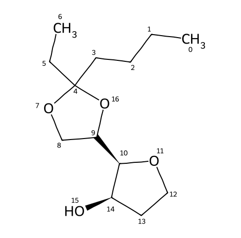 CCCCC1(CC)OCC([C@H]2OCC[C@H]2O)O1